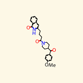 COc1ccc(C(=O)C2CCN(C(=O)CCCc3cc4ccccc4c(=O)[nH]3)CC2)cc1